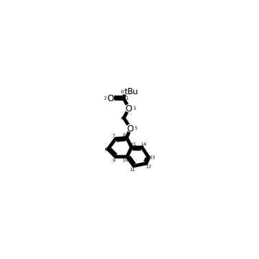 CC(C)(C)C(=O)OCOc1cccc2ccccc12